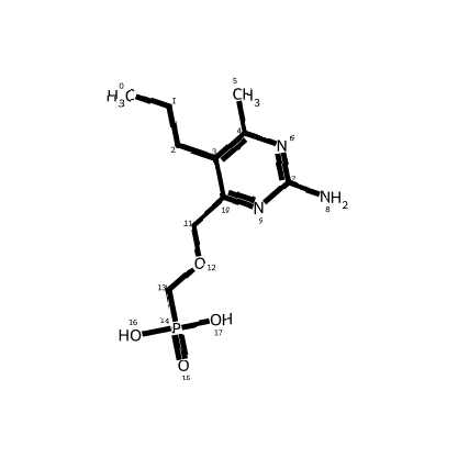 CCCc1c(C)nc(N)nc1COCP(=O)(O)O